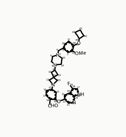 COc1cc(CN2CCN(C3CC4(C3)CN(c3ccc(C=O)c(Oc5cnc6[nH]cc(F)c6c5)c3)C4)CC2)ccc1OC1CCC1